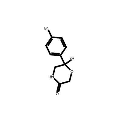 [2H]C1(c2ccc(Br)cc2)CNC(=O)CO1